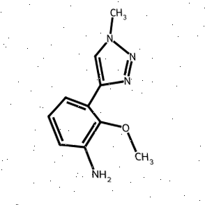 COc1c(N)cccc1-c1cn(C)nn1